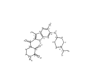 Cc1c(C(=O)N2CC[SH4]C(=O)C2=O)oc2cc(OC3CCN(C(C)C)CC3)c(Cl)cc12